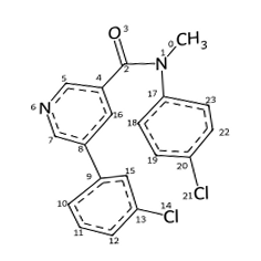 CN(C(=O)c1cncc(-c2cccc(Cl)c2)c1)c1ccc(Cl)cc1